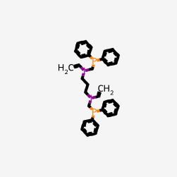 C=CI(CCCI(C=C)CP(c1ccccc1)c1ccccc1)CP(c1ccccc1)c1ccccc1